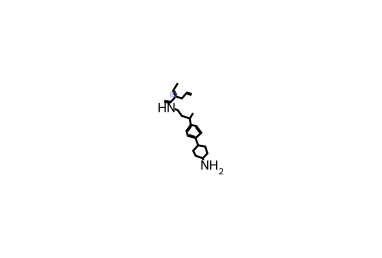 C=CC/C(=C\C)C(=C)NCCC(C)c1ccc(C2CCC(N)CC2)cc1